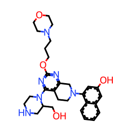 OCC1CNCCN1c1nc(OCCCN2CCOCC2)nc2c1CCN(c1cc(O)cc3ccccc13)C2